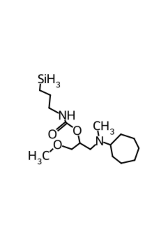 COCC(CN(C)C1CCCCCC1)OC(=O)NCCC[SiH3]